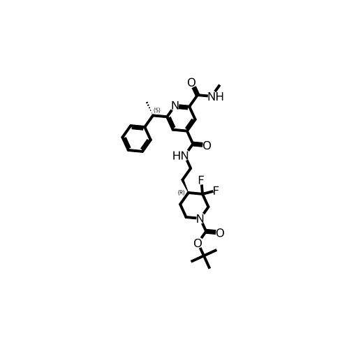 CNC(=O)c1cc(C(=O)NCC[C@@H]2CCN(C(=O)OC(C)(C)C)CC2(F)F)cc([C@@H](C)c2ccccc2)n1